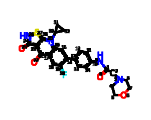 O=C(CN1CCOCC1)Nc1ccc(-c2cc3c(cc2F)c(=O)c2c(=O)[nH]sc2n3C2CC2)cc1